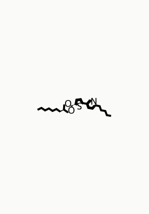 CCCCCCC[C@H]1CO[C@H](c2ccc(-c3ccc(CCCCC)nc3)s2)OC1